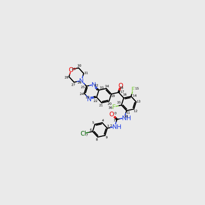 O=C(Nc1ccc(Cl)cc1)Nc1ccc(F)c(C(=O)c2ccc3ncc(N4CCOCC4)nc3c2)c1F